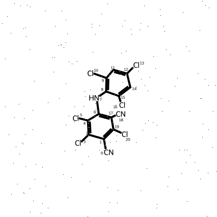 N#Cc1c(Cl)c(Cl)c(Nc2c(Cl)cc(Cl)cc2Cl)c(C#N)c1Cl